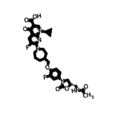 CC(=O)NC[C@H]1CN(c2ccc(OCC3CCCN(c4nc5c(cc4F)c(=O)c(C(=O)O)cn5C4CC4)CC3)c(F)c2)C(=O)O1